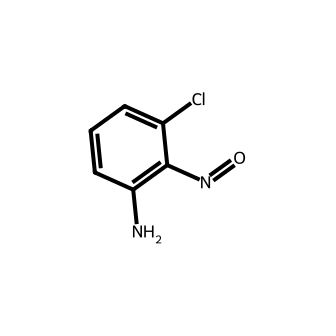 Nc1cccc(Cl)c1N=O